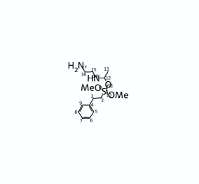 CO[Si](CCc1ccccc1)(OC)OC(C)NCCN